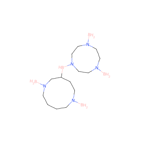 BN1CCCCN(B)CC(BN2CCN(B)CCN(B)CC2)CC1